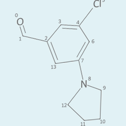 O=Cc1cc(Cl)cc(N2CCCC2)c1